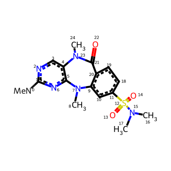 CNc1ncc2c(n1)N(C)c1cc(S(=O)(=O)N(C)C)ccc1C(=O)N2C